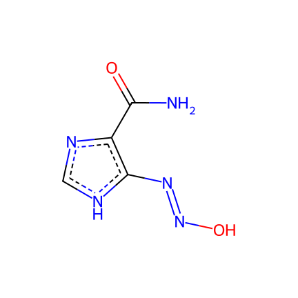 NC(=O)c1nc[nH]c1N=NO